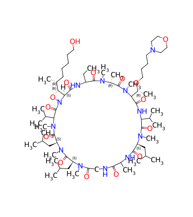 CCC1NC(=O)[C@@H]2[C@@H]([C@H](C)CCCCCO)ON2C(=O)C(C(C)C)N(C)C(=O)[C@H](CC(C)C)N(C)C(=O)[C@H](CC(C)C)N(C)C(=O)CNC(=O)C(C)NC(=O)[C@H](CC(C)C)N(C)C(=O)C(C(C)C)NC(=O)C([C@@H](C)OCCCCN2CCOCC2)N(C)C(=O)[C@@H](C)N(C)C1=O